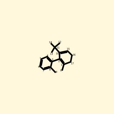 CC1=C(c2ccccc2C)C(C(C)(C)C)=CCC1